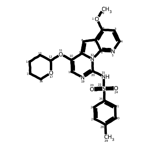 COc1ccnc2c1cc1c(OC3CCCCO3)cnc(NS(=O)(=O)c3ccc(C)cc3)n12